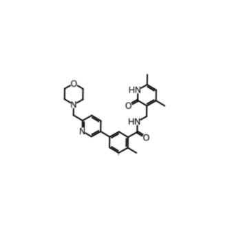 Cc1cc(C)c(CNC(=O)c2cc(-c3ccc(CN4CCOCC4)nc3)c[c]c2C)c(=O)[nH]1